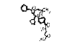 CSCc1oc(-c2ccccc2)cc1C(Nc1ccc(C(=O)NCCC(=O)O)cc1)C1CCCCC1